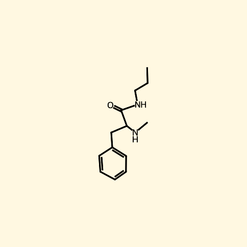 CCCNC(=O)C(Cc1ccccc1)NC